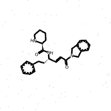 O=C(N[C@H](/C=C/C(=O)N1Cc2ccccc2C1)CCc1ccccc1)[C@@H]1CCCCN1